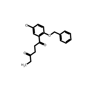 CCC(=O)CCC(=O)c1cc(Cl)ccc1OCc1ccccc1